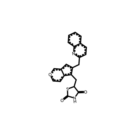 O=C1NC(=O)C(Cc2c(Cc3ccc4ccccc4n3)cc3coccc2-3)S1